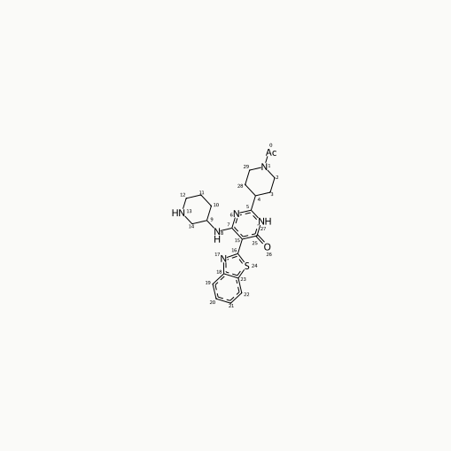 CC(=O)N1CCC(c2nc(NC3CCCNC3)c(-c3nc4ccccc4s3)c(=O)[nH]2)CC1